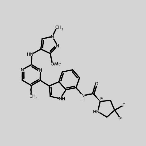 COc1nn(C)cc1Nc1ncc(C)c(-c2c[nH]c3c(NC(=O)[C@H]4CC(F)(F)CN4)cccc23)n1